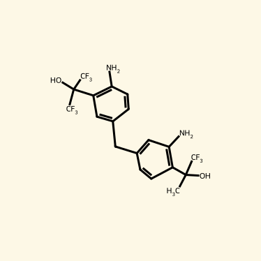 CC(O)(c1ccc(Cc2ccc(N)c(C(O)(C(F)(F)F)C(F)(F)F)c2)cc1N)C(F)(F)F